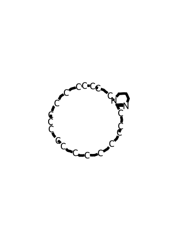 C1CCCCCCCCCCCCCCCN2CCCN=C2CCCCCCCCCCCCCC1